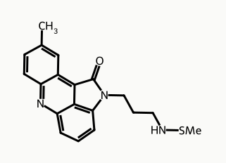 CSNCCCN1C(=O)c2c3cc(C)ccc3nc3cccc1c23